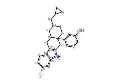 Oc1cccc(C23CCN(CC4CC4)CC2Cc2c([nH]c4cc(Cl)ccc24)C3)c1